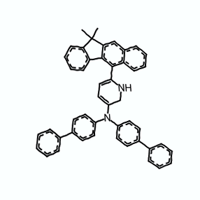 CC1(C)c2ccccc2-c2c1cc1ccccc1c2C1=CC=C(N(c2ccc(-c3ccccc3)cc2)c2ccc(-c3ccccc3)cc2)CN1